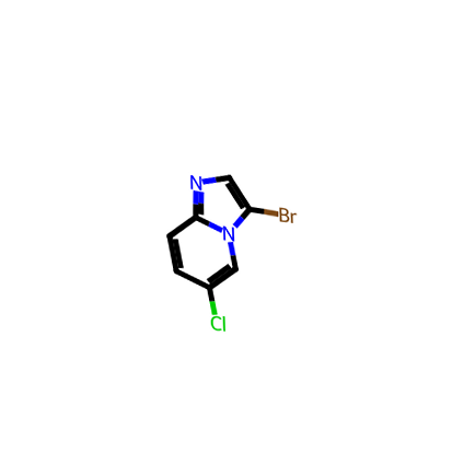 Clc1ccc2ncc(Br)n2c1